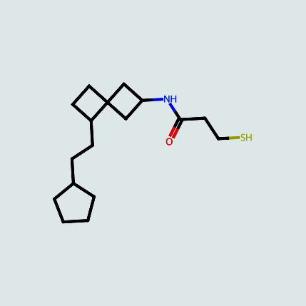 O=C(CCS)NC1CC2(CCC2CCC2CCCC2)C1